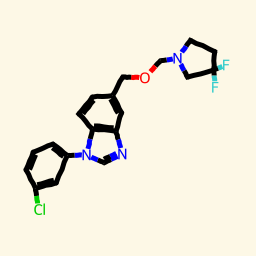 FC1(F)CCN(COCc2ccc3c(c2)ncn3-c2cccc(Cl)c2)C1